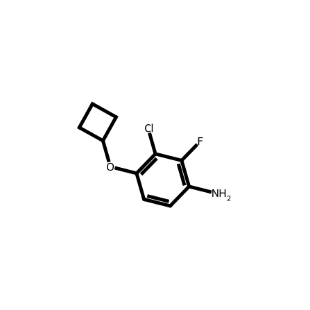 Nc1ccc(OC2CCC2)c(Cl)c1F